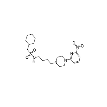 O=[N+]([O-])c1cccc(N2CCN(CCCCNS(=O)(=O)CC3CCCCC3)CC2)n1